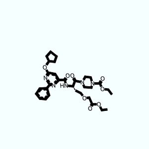 CCOC(=O)COCC[C@H](NC(=O)c1cc(OC2CCCC2)nc(-c2ccccc2)n1)C(=O)N1CCN(C(=O)OCC)CC1